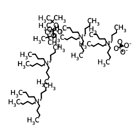 CC(C)(C)OP(=O)([O-])OC(C)(C)C.CCCC[N+](CCCC)(CCCC)CCCC.CCCC[N+](CCCC)(CCCC)CCCC.CCCC[N+](CCCC)(CCCC)CCCC.CCCC[N+](CCCC)(CCCC)CCCC.O=P([O-])([O-])[O-]